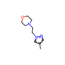 Cc1cnn(CCN2CCOCC2)c1